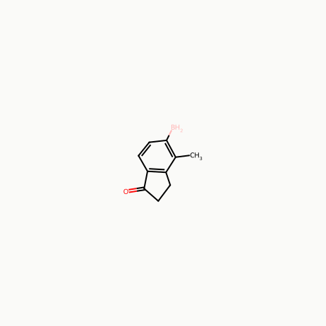 Bc1ccc2c(c1C)CCC2=O